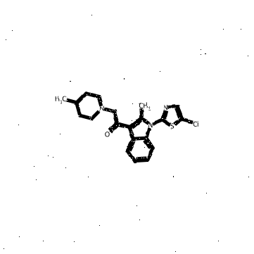 Cc1c(C(=O)CN2CCC(C)CC2)c2ccccc2n1-c1ncc(Cl)s1